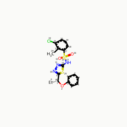 CC[C@@H](Oc1ccccc1)c1nnc(NS(=O)(=O)c2cccc(Cl)c2C)s1